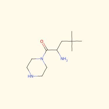 CC(C)(C)CC(N)C(=O)N1CCNCC1